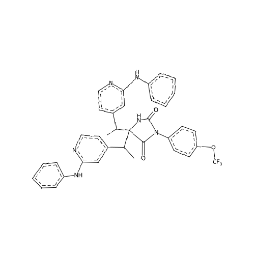 CC(c1ccnc(Nc2ccccc2)c1)C1(C(C)c2ccnc(Nc3ccccc3)c2)NC(=O)N(c2ccc(OC(F)(F)F)cc2)C1=O